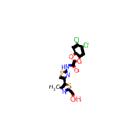 Cc1nc(CO)sc1-c1csc(NC(=O)C2Oc3cc(Cl)c(Cl)cc3O2)n1